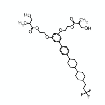 C=C(CO)C(=O)OCCOc1cc(OCCOC(=O)C(=C)CO)cc(-c2ccc(C3CCC(C4CCC(CCC(F)(F)F)CC4)CC3)cc2)c1